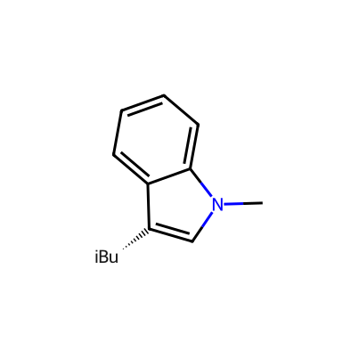 CC[C@@H](C)c1cn(C)c2ccccc12